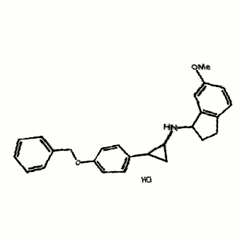 COc1ccc2c(c1)C(NC1CC1c1ccc(OCc3ccccc3)cc1)CC2.Cl